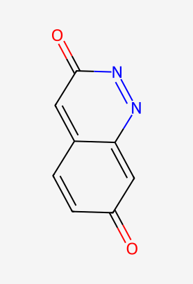 O=C1C=CC2=CC(=O)N=NC2=C1